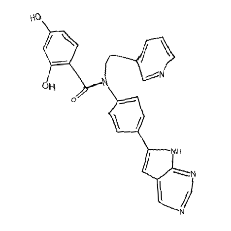 O=C(c1ccc(O)cc1O)N(Cc1cccnc1)c1ccc(-c2cc3cncnc3[nH]2)cc1